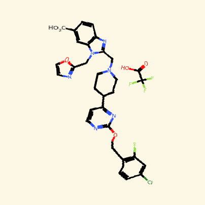 O=C(O)C(F)(F)F.O=C(O)c1ccc2nc(CN3CCC(c4ccnc(OCc5ccc(Cl)cc5F)n4)CC3)n(Cc3ncco3)c2c1